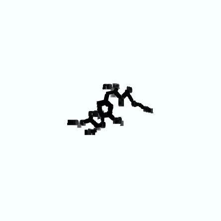 CCC[C@@H](Oc1ccc(C[C@H](NC(=O)OCC(C)(C)C)C(=O)OCC)cc1[N+](=O)[O-])C(C(=O)O)C(=O)O